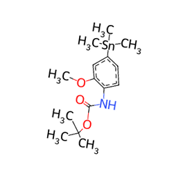 COc1c[c]([Sn]([CH3])([CH3])[CH3])ccc1NC(=O)OC(C)(C)C